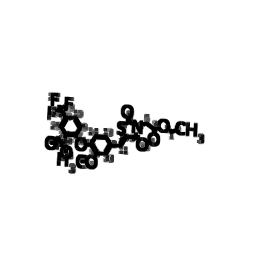 CCOC(=O)CN1C(=O)S/C(=C\c2ccc(Oc3ccc(C(F)(F)F)cc3[N+](=O)[O-])c(OC)c2)C1=O